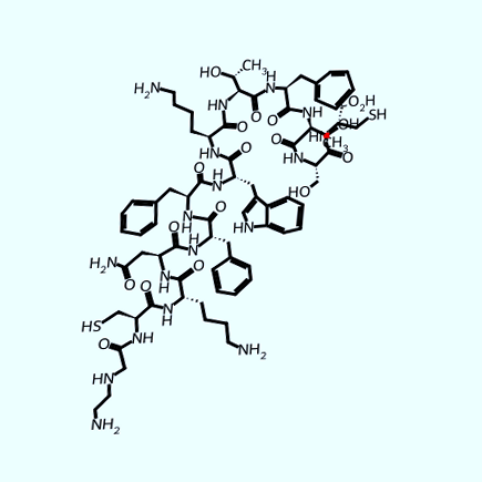 C[C@@H](O)[C@H](NC(=O)[C@H](Cc1ccccc1)NC(=O)[C@@H](NC(=O)[C@H](CCCCN)NC(=O)[C@H](Cc1c[nH]c2ccccc12)NC(=O)[C@H](Cc1ccccc1)NC(=O)[C@H](Cc1ccccc1)NC(=O)[C@H](CC(N)=O)NC(=O)[C@H](CCCCN)NC(=O)[C@H](CS)NC(=O)CNCCN)[C@@H](C)O)C(=O)N[C@@H](CO)C(=O)N[C@@H](CS)C(=O)O